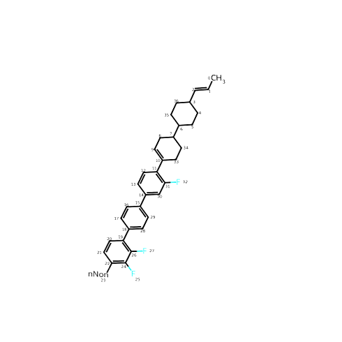 C/C=C/C1CCC(C2CC=C(c3ccc(-c4ccc(-c5ccc(CCCCCCCCC)c(F)c5F)cc4)cc3F)CC2)CC1